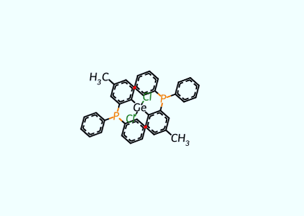 Cc1cc[c]([Ge]([Cl])([Cl])[c]2ccc(C)cc2P(c2ccccc2)c2ccccc2)c(P(c2ccccc2)c2ccccc2)c1